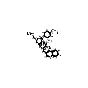 CCOCOC[C@H](C[C@H](Cc1cnc2ccccc2c1)C(=O)NO)NC(=O)[C@H]1CC[C@H](C)CC1